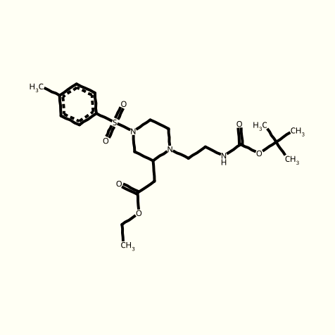 CCOC(=O)CC1CN(S(=O)(=O)c2ccc(C)cc2)CCN1CCNC(=O)OC(C)(C)C